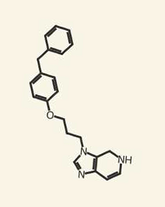 C1=Cc2ncn(CCCOc3ccc(Cc4ccccc4)cc3)c2CN1